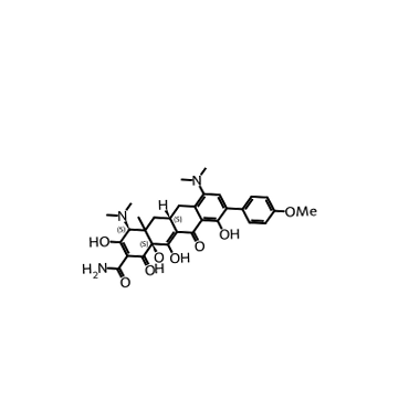 COc1ccc(-c2cc(N(C)C)c3c(c2O)C(=O)C2=C(O)[C@]4(O)C(=O)C(C(N)=O)=C(O)[C@@H](N(C)C)C4(C)C[C@@H]2C3)cc1